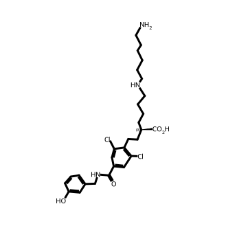 NCCCCCCNCCCC[C@H](CCc1c(Cl)cc(C(=O)NCc2cccc(O)c2)cc1Cl)C(=O)O